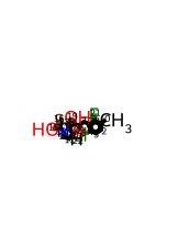 Cc1ccc(Cl)c(CC2O[C@@H]3CCN(C(O)=S)[C@@H]3C2O)c1F